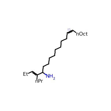 CCC=C(CCC)C(N)CCCCCCCC/C=C\CCCCCCCC